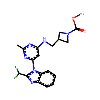 Cc1nc(NCC2CN(C(=O)OC(C)(C)C)C2)cc(-n2c(C(F)F)nc3ccccc32)n1